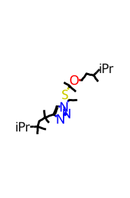 CC(C)C(C)CCOC(C)(C)SC(C)n1cc(C(C)(C)CC(C)(C)C(C)C)nn1